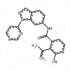 C=C(C)c1c(C(=O)Nc2ccc3cnn(-c4ccncn4)c3c2)ccnc1C#N